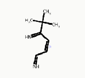 CC(C)(C)C(=N)/C=C\C=N